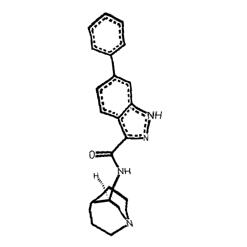 O=C(N[C@H]1CN2CCC1CC2)c1n[nH]c2cc(-c3ccccc3)ccc12